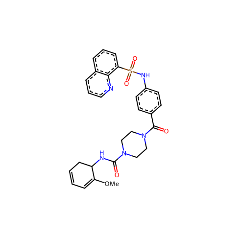 COC1=CC=CCC1NC(=O)N1CCN(C(=O)c2ccc(NS(=O)(=O)c3cccc4cccnc34)cc2)CC1